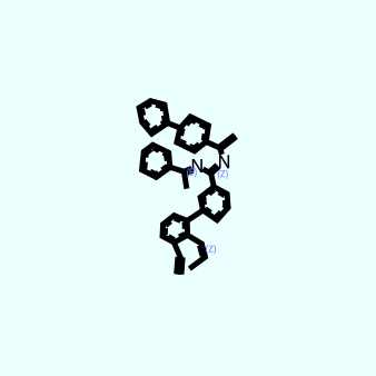 C#Cc1cccc(-c2cccc(C(=N/C(=C)c3ccc(-c4ccccc4)cc3)/N=C(\C)c3ccccc3)c2)c1/C=C\C